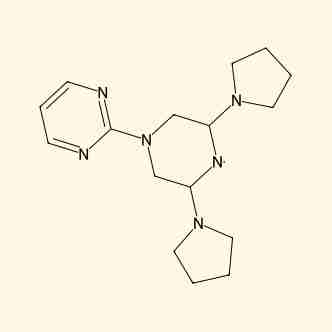 c1cnc(N2CC(N3CCCC3)[N]C(N3CCCC3)C2)nc1